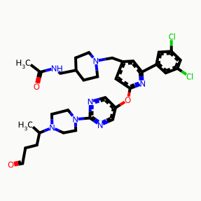 CC(=O)NCC1CCN(Cc2cc(Oc3cnc(N4CCN(C(C)CCC=O)CC4)nc3)nc(-c3cc(Cl)cc(Cl)c3)c2)CC1